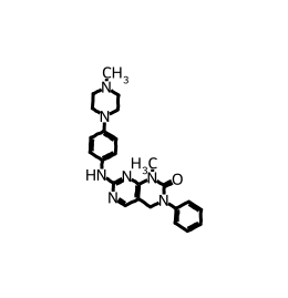 CN1CCN(c2ccc(Nc3ncc4c(n3)N(C)C(=O)N(c3ccccc3)C4)cc2)CC1